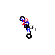 O=C(OC1CC2(C1)CN(Cc1ccccc1)C2)N1C2CC1CN(c1ncc(C(F)(F)F)cn1)C2